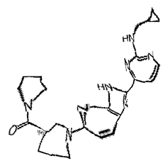 O=C([C@@H]1CCCN(c2ccc3nc(-c4ccnc(NC5CC5)n4)[nH]c3n2)C1)N1CCCC1